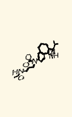 CC(=O)NCC1CN(c2ccc3c(c2)CCCc2c(C(C)C)n[nH]c2-3)C(=O)O1